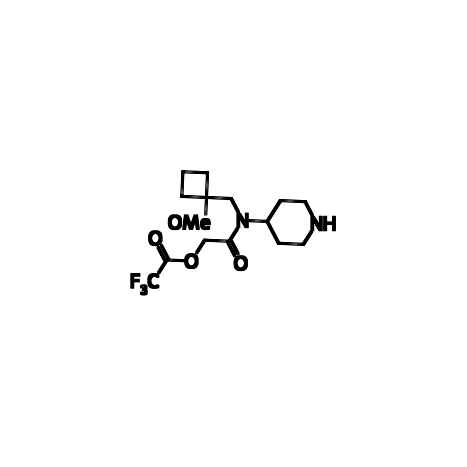 COC1(CN(C(=O)COC(=O)C(F)(F)F)C2CCNCC2)CCC1